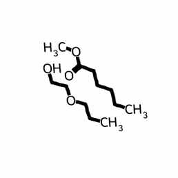 CCCCCC(=O)OC.CCCOCCO